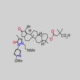 CNCCn1c([C@@]23CC[C@]4(C)[C@H](CC[C@@H]5[C@@]6(C)CC[C@H](OC(=O)CC(C)(C)C(=O)O)C(C)(C)[C@@H]6CC[C@]54C)C2=C(C(C)C)C(=O)C3)c(C)c(=O)n1-c1ccc(OC)nc1